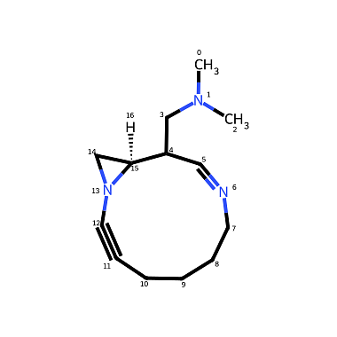 CN(C)CC1C=NCCCCC#CN2C[C@@H]12